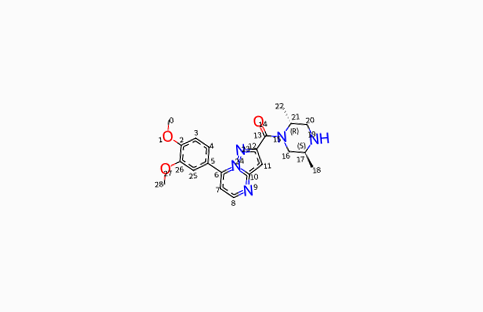 COc1ccc(-c2ccnc3cc(C(=O)N4C[C@H](C)NC[C@H]4C)nn23)cc1OC